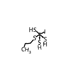 CCCSI(S)(S)(S)I